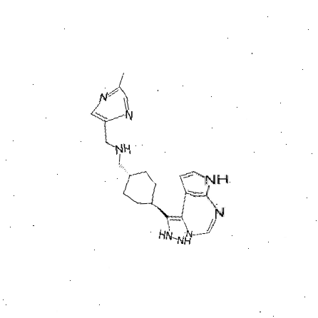 Cc1cnc(CNC[C@H]2CC[C@H](C3=C4c5cc[nH]c5N=CN4NN3)CC2)cn1